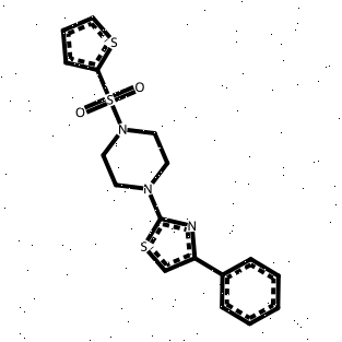 O=S(=O)(c1cccs1)N1CCN(c2nc(-c3ccccc3)cs2)CC1